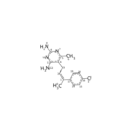 CC(=CCc1c(C)nc(N)nc1N)c1ccc(Cl)cc1